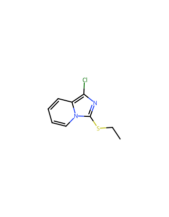 CCSc1nc(Cl)c2ccccn12